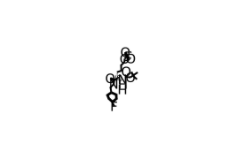 CC(C)(C)OC(=O)N[C@@H](CCCCOS(C)(=O)=O)C(=O)NCc1ccc(F)cc1